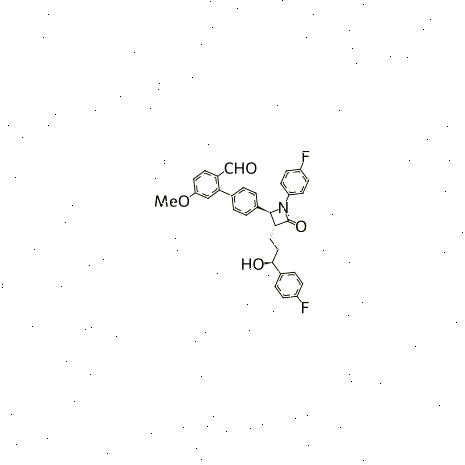 COc1ccc(C=O)c(-c2ccc([C@@H]3[C@@H](CC[C@H](O)c4ccc(F)cc4)C(=O)N3c3ccc(F)cc3)cc2)c1